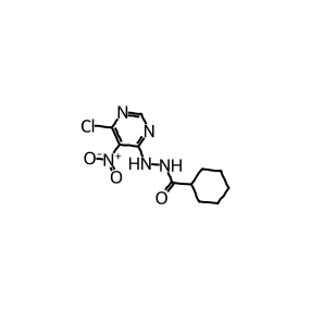 O=C(NNc1ncnc(Cl)c1[N+](=O)[O-])C1CCCCC1